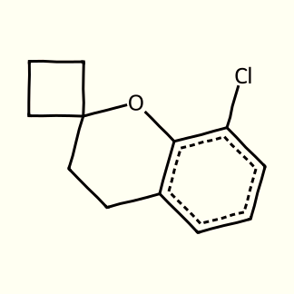 Clc1cccc2c1OC1(CCC1)CC2